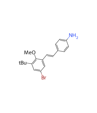 COc1c(C=Cc2ccc(N)cc2)cc(Br)cc1C(C)(C)C